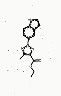 CCOC(=O)c1nn(-c2ccc3[nH]ccc3c2)nc1C